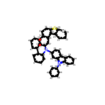 c1ccc(-c2ccccc2N(c2ccc3ccc4sc5ccccc5c4c3c2)c2ccc3c4ccccc4n(-c4ccccc4)c3c2)cc1